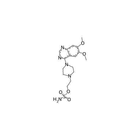 COc1cc2ncnc(N3CCN(CCOS(N)(=O)=O)CC3)c2cc1OC